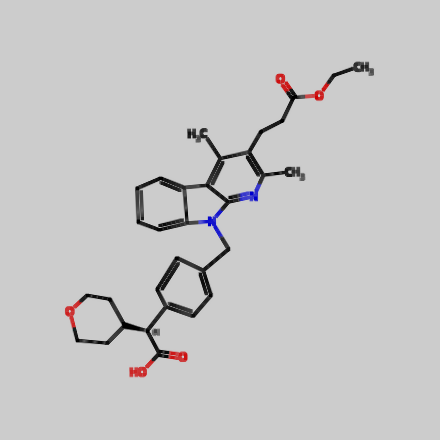 CCOC(=O)CCc1c(C)nc2c(c1C)c1ccccc1n2Cc1ccc([C@@H](C(=O)O)C2CCOCC2)cc1